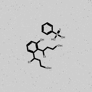 CCCCCCCCCCCCC(CC)c1cccc(O)c1C(CC)CCCCCCCCCCCC.OP(O)(=S)c1ccccc1